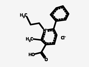 CCC[n+]1c(-c2ccccc2)ccc(C(=O)O)c1C.[Cl-]